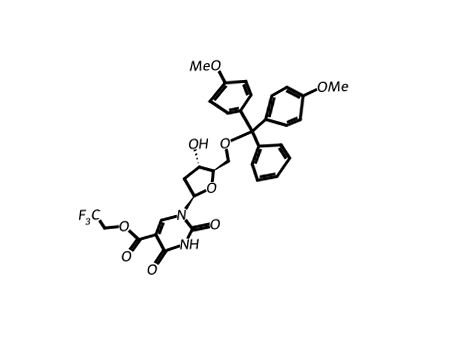 COc1ccc(C(OC[C@H]2O[C@@H](n3cc(C(=O)OCC(F)(F)F)c(=O)[nH]c3=O)C[C@@H]2O)(c2ccccc2)c2ccc(OC)cc2)cc1